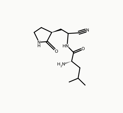 CC(C)C[C@H](N)C(=O)NC(C#N)C[C@@H]1CCNC1=O